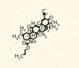 [C-]#[N+]C1=C[C@]2(C)C3=CC(=O)[C@@H]4[C@@H]5CC(C)(C)CC[C@]5(NC(=O)OCC=C)CC[C@@]4(C)[C@]3(C)CC[C@H]2C(C)(C)C1=O